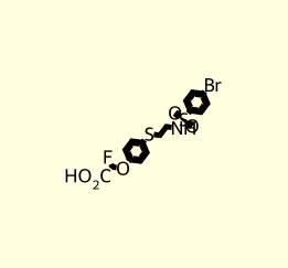 O=C(O)C(F)Oc1ccc(SCCNS(=O)(=O)c2ccc(Br)cc2)cc1